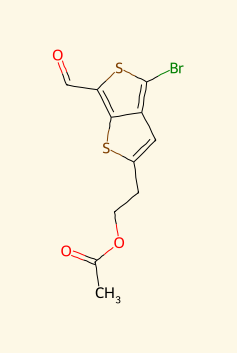 CC(=O)OCCc1cc2c(Br)sc(C=O)c2s1